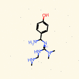 CNCN/C(=N\C(N)c1ccc(O)cc1)N(C)C